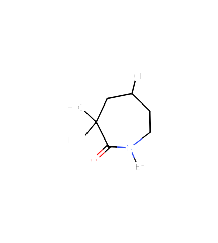 CCN1CCC(C)CC(C)(C)C1=O